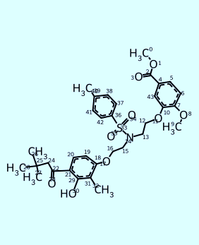 COC(=O)c1ccc(OC)c(OCCN(CCOc2ccc(C(=O)CC(C)(C)C)c(O)c2C)S(=O)(=O)c2ccc(C)cc2)c1